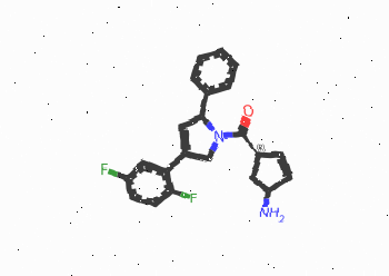 NC1C=C[C@H](C(=O)N2CC(c3cc(F)ccc3F)=CC2c2ccccc2)C1